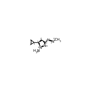 CN=Nc1cc(C2CC2)n(N)n1